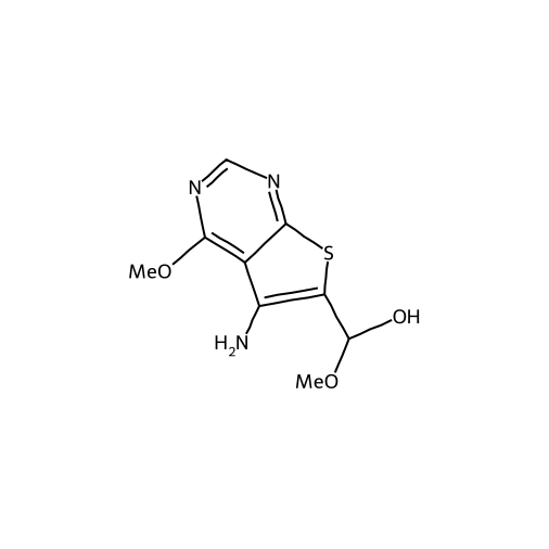 COc1ncnc2sc(C(O)OC)c(N)c12